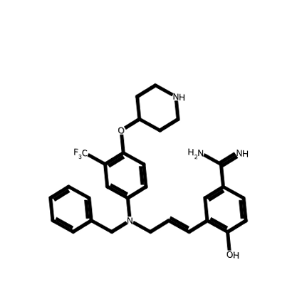 N=C(N)c1ccc(O)c(C=CCN(Cc2ccccc2)c2ccc(OC3CCNCC3)c(C(F)(F)F)c2)c1